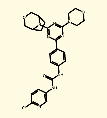 O=C(Nc1ccc(-c2nc(N3CCOCC3)nc(N3C4CCC3COC4)n2)cc1)Nc1ccc(Cl)nc1